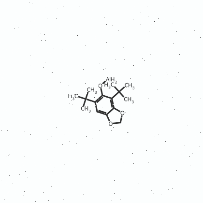 CC(C)(C)c1cc2c(c(C(C)(C)C)c1[O][AlH2])OCO2